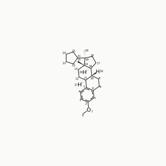 COc1ccc2c(c1)CC[C@@H]1[C@@H]2CC[C@@]2(C)[C@H]1CC[C@]2(C)C1CCCC1